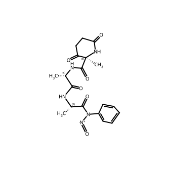 C[C@H](NC(=O)[C@]1(C)NC(=O)CCC1=O)C(=O)N[C@@H](C)C(=O)N([N+]=O)c1ccccc1